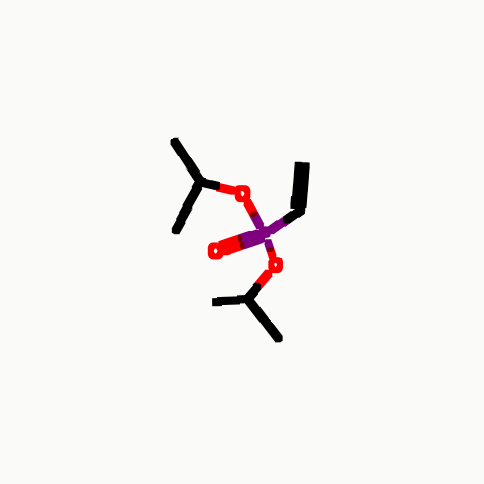 C=CP(=O)(OC(C)C)OC(C)C